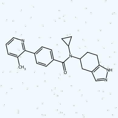 Cc1cccnc1-c1ccc(C(=O)N(C2CC2)C2CCc3[nH]ncc3C2)cc1